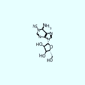 NC1c2ncn([C@@H]3O[C@H](CO)C(O)C3O)c2N=CN1S